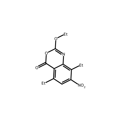 CCOc1nc2c(CC)c([N+](=O)[O-])cc(CC)c2c(=O)o1